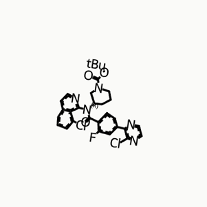 CC(C)(C)OC(=O)N1CCC[C@@H](N(C(=O)c2ccc(-c3nccnc3Cl)cc2F)c2nccc3cccc(Cl)c23)C1